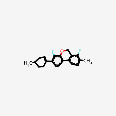 Cc1ccc2c(c1F)COc1c-2ccc(C2=CCC(C)CC2)c1F